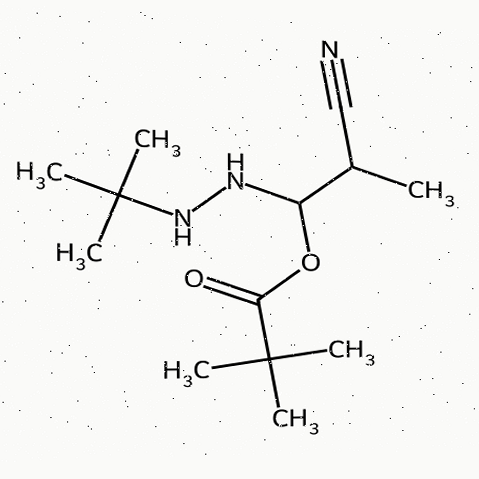 CC(C#N)C(NNC(C)(C)C)OC(=O)C(C)(C)C